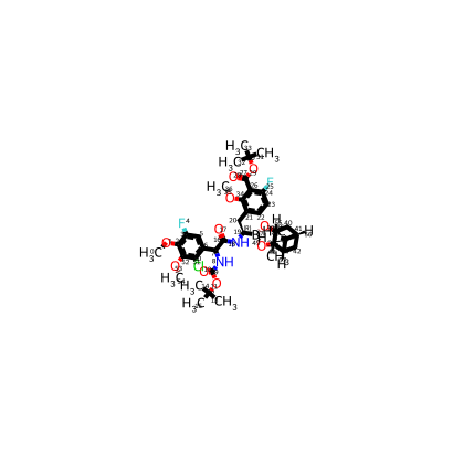 COc1c(F)cc(C(NC(=O)OC(C)(C)C)C(=O)N[C@@H](Cc2ccc(F)c(C(=O)OC(C)(C)C)c2OC)B2O[C@@H]3C[C@@H]4C[C@@H](C4(C)C)[C@]3(C)O2)c(Cl)c1OC